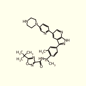 Cc1cc(-c2n[nH]c3ncc(-c4ccc(N5CCNCC5)cn4)cc23)ccc1[C@@H](C)NC(=O)c1noc(C(C)(C)C)n1